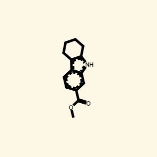 COC(=O)c1ccc2c3c([nH]c2c1)CCCC3